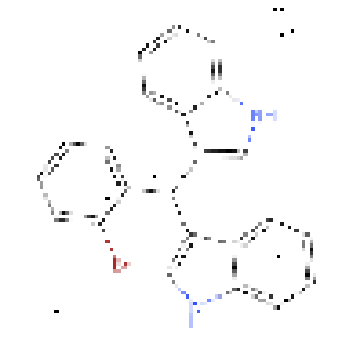 Brc1ccccc1C(c1c[nH]c2ccccc12)c1c[nH]c2ccccc12